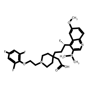 COc1ccc2ncc(N(C)C)c([C@@H](F)CCC3(CC(=O)O)CCN(CCOc4c(F)cc(F)cc4F)CC3)c2c1